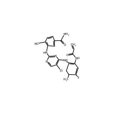 C=CC(=O)NC1=C(Nc2nc(Nc3cc(C(N)=O)ccc3C#N)ncc2Cl)CC(C)C(F)=C1